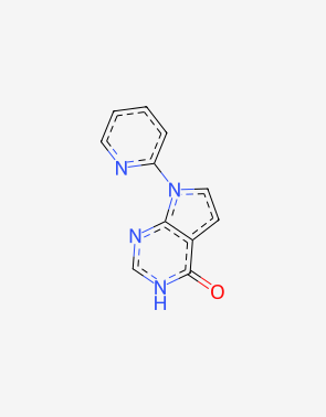 O=c1[nH]cnc2c1ccn2-c1ccccn1